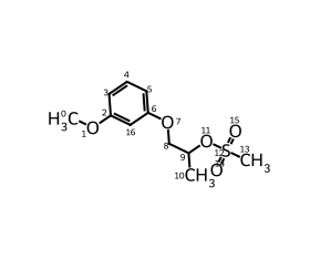 COc1cccc(OCC(C)OS(C)(=O)=O)c1